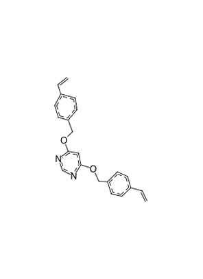 C=Cc1ccc(COc2cc(OCc3ccc(C=C)cc3)ncn2)cc1